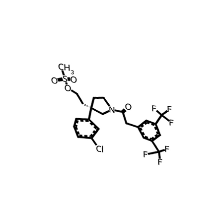 CS(=O)(=O)OCC[C@]1(c2cccc(Cl)c2)CCN(C(=O)Cc2cc(C(F)(F)F)cc(C(F)(F)F)c2)C1